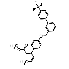 C/C=C\[C@@H](CC(=O)OC)c1ccc(OCc2cccc(-c3ccc(C(F)(F)F)cc3)c2)cc1